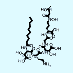 CCCCCCCCCC(=O)N[C@H](C(=O)N[C@@H](CCN)C(=O)N[C@H](C(=O)NCC(=O)N[C@@H](CCCN(O)C(=O)C[C@H](C)O)C(=O)O)[C@H](O)C(=O)O)[C@H](O)C(=O)O